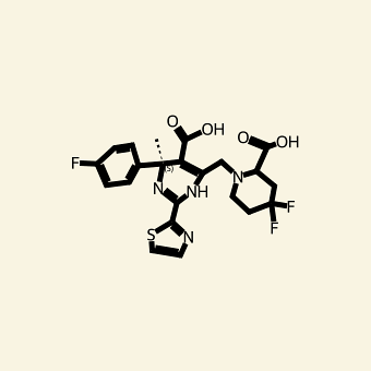 C[C@@]1(c2ccc(F)cc2)N=C(c2nccs2)NC(CN2CCC(F)(F)CC2C(=O)O)=C1C(=O)O